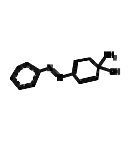 NC1(O)C=CC(N=Nc2ccccc2)=CC1